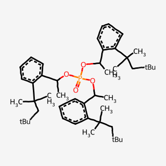 CC(OP(=O)(OC(C)c1ccccc1C(C)(C)CC(C)(C)C)OC(C)c1ccccc1C(C)(C)CC(C)(C)C)c1ccccc1C(C)(C)CC(C)(C)C